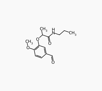 CCCNC(=O)C(C)Oc1cc(C=O)ccc1OC